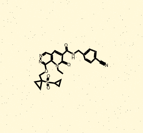 CCn1c(=O)c(C(=O)NCc2ccc(C#N)cc2)cc2cnnc(OCC3(S(=O)(=O)C4CC4)CC3)c21